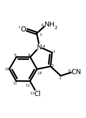 N#CCc1cn(C(N)=O)c2cccc(Cl)c12